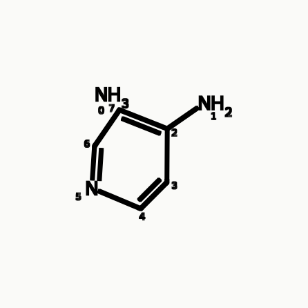 N.Nc1ccncc1